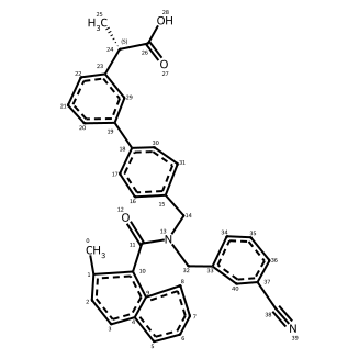 Cc1ccc2ccccc2c1C(=O)N(Cc1ccc(-c2cccc([C@H](C)C(=O)O)c2)cc1)Cc1cccc(C#N)c1